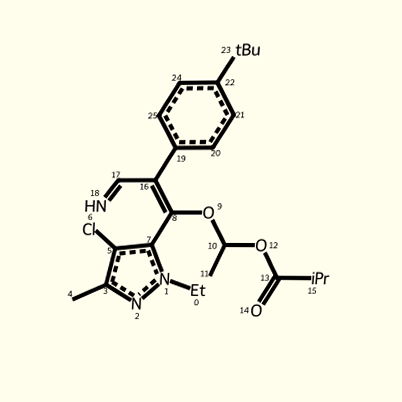 CCn1nc(C)c(Cl)c1/C(OC(C)OC(=O)C(C)C)=C(\C=N)c1ccc(C(C)(C)C)cc1